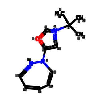 CC(C)(C)[n+]1coc(N2C=CC=CC=N2)c1